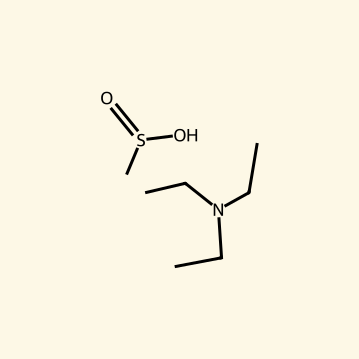 CCN(CC)CC.CS(=O)O